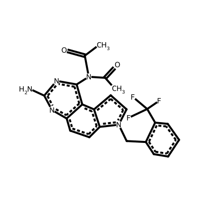 CC(=O)N(C(C)=O)c1nc(N)nc2ccc3c(ccn3Cc3ccccc3C(F)(F)F)c12